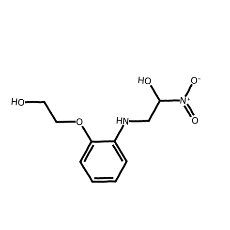 O=[N+]([O-])C(O)CNc1ccccc1OCCO